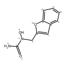 NC(=O)N(O)Cc1cc2ccccc2o1